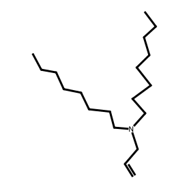 C=CCN(CCCCCCCC)CCCCCCCC